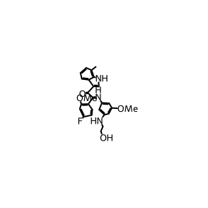 COc1cc(NCCO)cc(NC(C(=O)c2c[nH]c3c(C)cccc23)c2ccc(F)cc2OC)c1